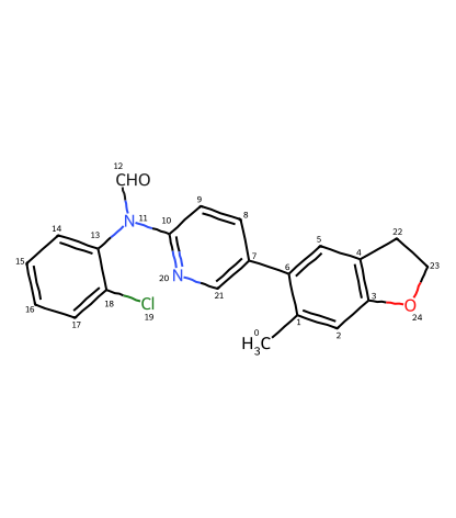 Cc1cc2c(cc1-c1ccc(N(C=O)c3ccccc3Cl)nc1)CCO2